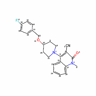 Cn1c(=O)c(C#N)c(N2CCC(OCc3ccc(F)cc3)CC2)c2ccccc21